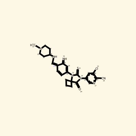 CN1CCC(N/C=C2/C=CC(N3C(=S)N(c4cnc(C#N)c(Cl)c4)C(=O)C34CCC4)=CC2=N)CC1